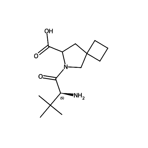 CC(C)(C)[C@H](N)C(=O)N1CC2(CCC2)CC1C(=O)O